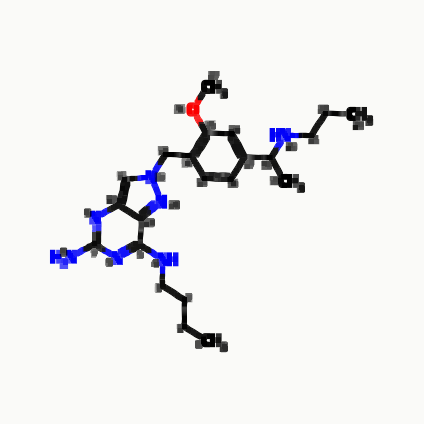 CCCCNc1nc(N)nc2cn(Cc3ccc(C(C)NCCC)cc3OC)nc12